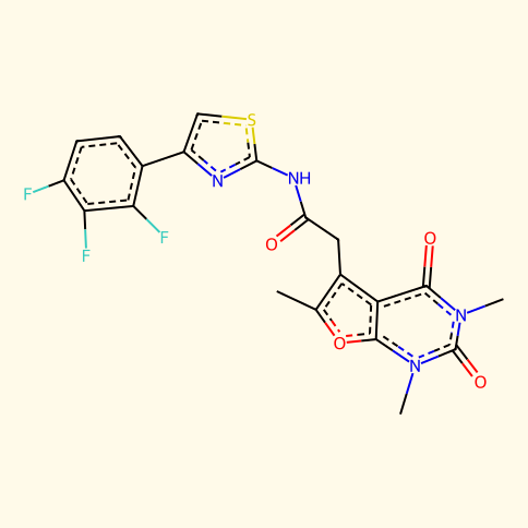 Cc1oc2c(c1CC(=O)Nc1nc(-c3ccc(F)c(F)c3F)cs1)c(=O)n(C)c(=O)n2C